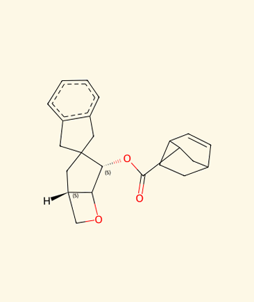 O=C(O[C@@H]1C2OC[C@@H]2CC12Cc1ccccc1C2)C1CC2C=CC1CC2